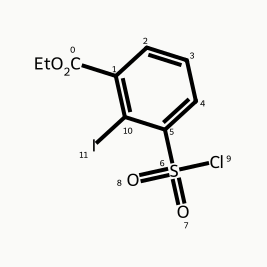 CCOC(=O)c1cccc(S(=O)(=O)Cl)c1I